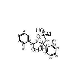 Cc1ccccc1C(O)[C@H]1OC(O)(Cl)C[C@@]1(O)c1ccccc1C